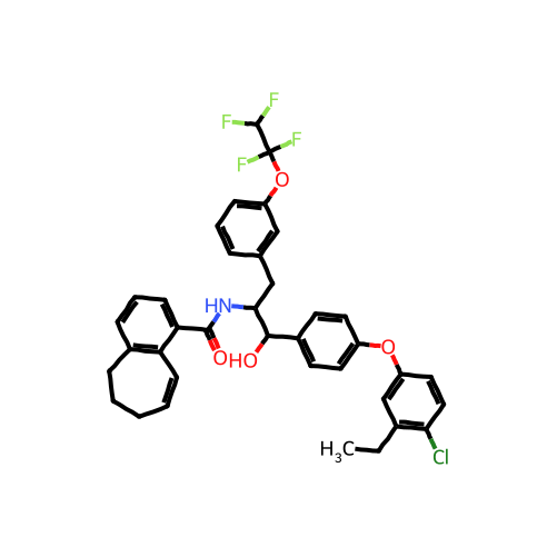 CCc1cc(Oc2ccc(C(O)C(Cc3cccc(OC(F)(F)C(F)F)c3)NC(=O)c3cccc4c3C=CCCC4)cc2)ccc1Cl